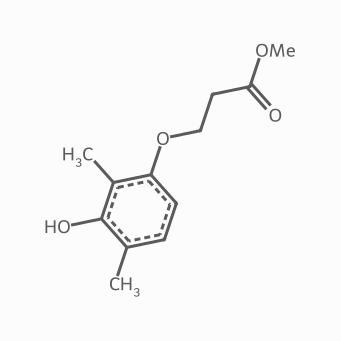 COC(=O)CCOc1ccc(C)c(O)c1C